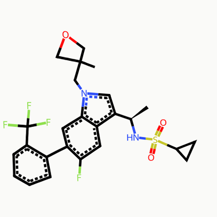 C[C@@H](NS(=O)(=O)C1CC1)c1cn(CC2(C)COC2)c2cc(-c3ccccc3C(F)(F)F)c(F)cc12